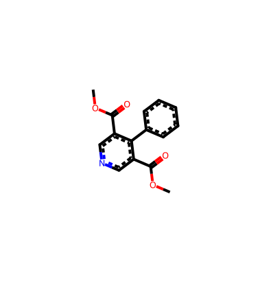 COC(=O)c1cncc(C(=O)OC)c1-c1ccccc1